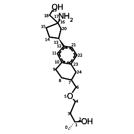 C[C@@H](O)CCOCC1CCc2cc([C@H]3CC[C@](N)(CO)C3)ccc2C1